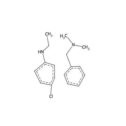 CCNc1ccc(Cl)cc1.CN(C)Cc1ccccc1